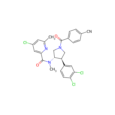 Cc1cc(Cl)cc(C(=O)N(C)[C@@H]2CN(C(=O)c3ccc(C#N)cc3)C[C@H]2c2ccc(Cl)c(Cl)c2)n1